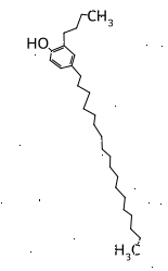 CCCCCCCCCCCCCCCCCCc1ccc(O)c(CCCC)c1